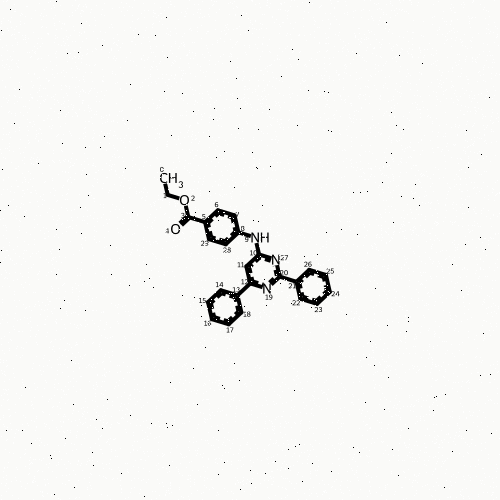 CCOC(=O)c1ccc(Nc2cc(-c3ccccc3)nc(-c3ccccc3)n2)cc1